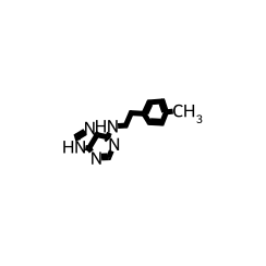 Cc1ccc(CCNC2=NC=NC3NC=NC23)cc1